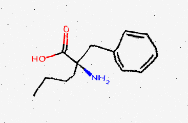 CCC[C@@](N)(Cc1ccccc1)C(=O)O